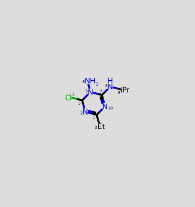 CCC1=NC(Cl)N(N)C(NC(C)C)=N1